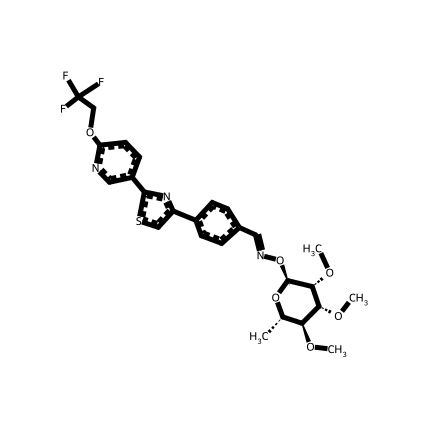 CO[C@@H]1[C@@H](OC)[C@H](C)O[C@@H](O/N=C/c2ccc(-c3csc(-c4ccc(OCC(F)(F)F)nc4)n3)cc2)[C@@H]1OC